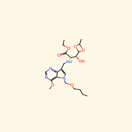 CCCCOCn1cc(CN[C@H](C(=O)OCC)[C@H](O)C2OC(C)O2)c2ncnc(OC)c21